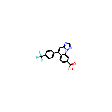 O=C(O)c1ccc2c(-c3ccc(C(F)(F)F)cc3)cc3ncnn3c2c1